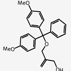 C=C(CO)COC(c1ccccc1)(c1ccc(OC)cc1)c1ccc(OC)cc1